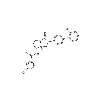 O=C(N[C@@H]1CCN2C(=O)N(c3ccc(-n4ccccc4=O)cc3)C[C@H]12)c1ccc(Cl)s1